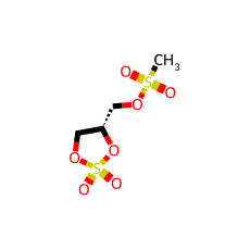 CS(=O)(=O)OC[C@H]1COS(=O)(=O)O1